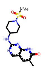 CNS(=O)(=O)N1CCC(Nc2ncc3cc(C)c(=O)[nH]c3n2)CC1